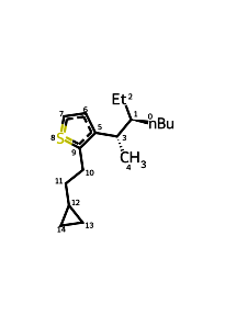 CCCC[C@H](CC)[C@H](C)c1ccsc1CCC1CC1